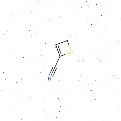 N#CC1=CCS1